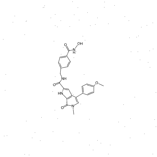 COc1ccc(-c2cn(C)c(=O)c3[nH]c(C(=O)NCc4ccc(C(=O)NO)cc4)cc23)cc1